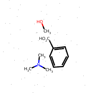 CN(C)C.CO.O=C(O)c1ccccc1